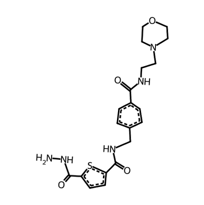 NNC(=O)c1ccc(C(=O)NCc2ccc(C(=O)NCCN3CCOCC3)cc2)s1